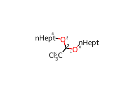 CCCCCCCOC(OCCCCCCC)C(Cl)(Cl)Cl